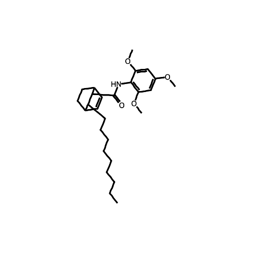 CCCCCCCCCC1C2C=CC(CC2)C1C(=O)Nc1c(OC)cc(OC)cc1OC